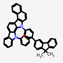 CC1(C)c2ccccc2-c2cc(-c3ccc(-n4c5ccc6ccccc6c5c5ccc6c7ccccc7n(-c7ccccc7)c6c54)cc3)ccc21